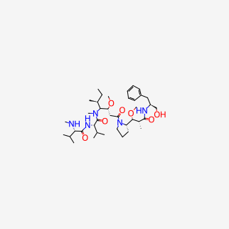 CC[C@H](C)C([C@@H](CC(=O)N1CCC[C@H]1[C@H](OC)[C@@H](C)C(=O)N[C@H](CO)Cc1ccccc1)OC)N(C)C(=O)[C@@H](NC(=O)[C@@H](NC)C(C)C)C(C)C